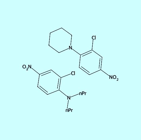 CCCN(CCC)c1ccc([N+](=O)[O-])cc1Cl.O=[N+]([O-])c1ccc(N2CCCCC2)c(Cl)c1